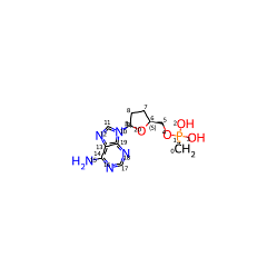 C=P(O)(O)OC[C@@H]1CC[C@H](n2cnc3c(N)ncnc32)O1